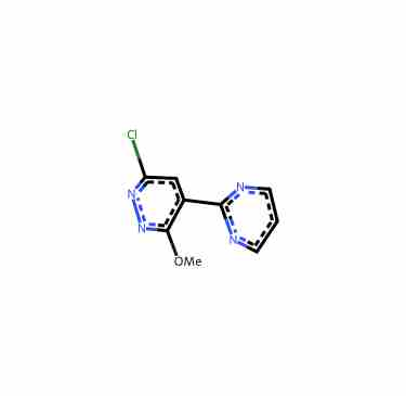 COc1nnc(Cl)cc1-c1ncccn1